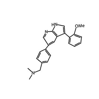 COc1ccccc1-c1c[nH]c2ncc(-c3ccc(CN(C)C)cc3)cc12